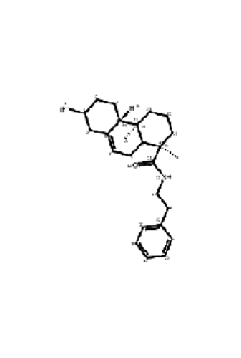 CC(C)C1CC[C@H]2C(=CCC3[C@](C)(C(=O)NCCc4ccccc4)CCC[C@@]32C)C1